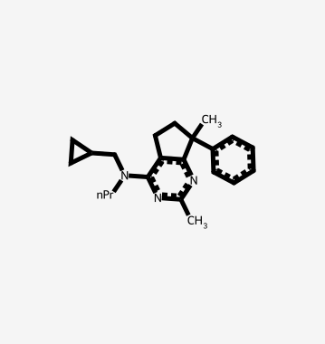 CCCN(CC1CC1)c1nc(C)nc2c1CCC2(C)c1ccccc1